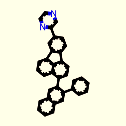 c1ccc(-c2cc3ccccc3cc2-c2ccc3c4c(cccc24)-c2cc(-c4cnccn4)ccc2-3)cc1